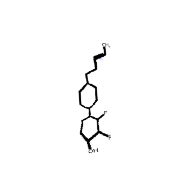 C/C=C/CCC1CCC(C2CCC(O)C(F)C2F)CC1